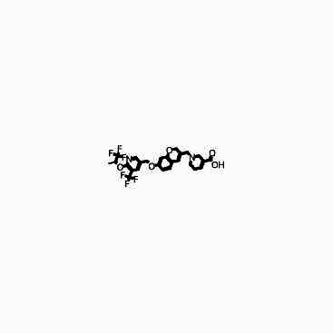 C[C@H](Oc1ncc(COc2ccc3c(c2)OCC(CN2CCC=C(C(=O)O)C2)=C3)cc1C(F)(F)F)C(F)(F)F